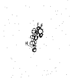 CC(OC(=O)OC1CCCCC1)Oc1c2n(ccc1=O)N([C@@H]1c3ccccc3SCc3c1ccc(F)c3F)[C@@H]1COCCN1C2=O